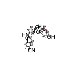 N#Cc1ccc2nc(N[C@@H]3CCN(C(=O)OC4C5CC6C[C@H]4C[C@@](O)(C6)C5)C3)ccc2c1